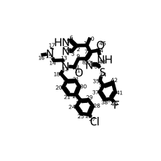 CC(c1cn[nH]c1)c1c(CC(=O)N(CCN(C)C)Cc2ccc(-c3ccc(Cl)cc3)cc2)nc(SCc2ccc(F)cc2)[nH]c1=O